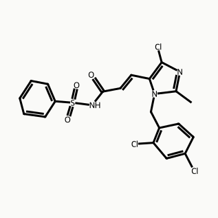 Cc1nc(Cl)c(/C=C/C(=O)NS(=O)(=O)c2ccccc2)n1Cc1ccc(Cl)cc1Cl